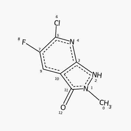 Cn1[nH]c2nc(Cl)c(F)cc2c1=O